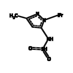 Cc1cc(N[SH](=O)=O)n(C(C)C)n1